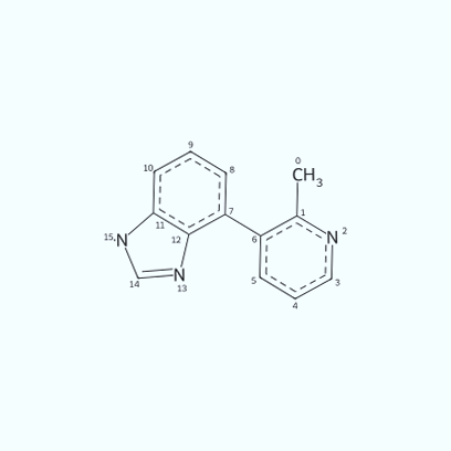 Cc1ncccc1-c1cccc2c1N=C[N]2